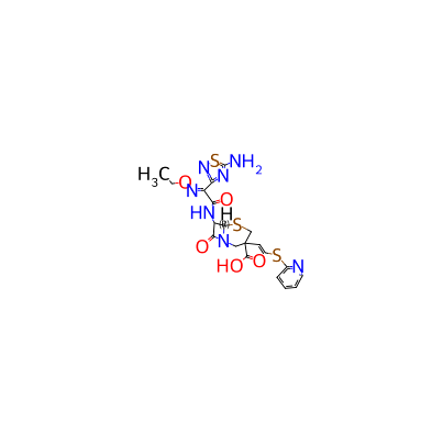 CCON=C(C(=O)NC1C(=O)N2CC(C=CSc3ccccn3)(C(=O)O)CS[C@H]12)c1nsc(N)n1